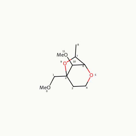 COCC12CCOC(C(C)O1)C2OC